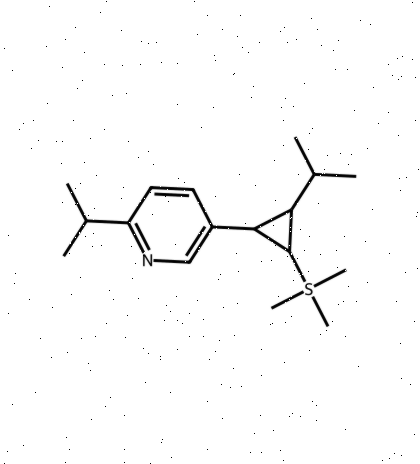 CC(C)c1ccc(C2C(C(C)C)C2S(C)(C)C)cn1